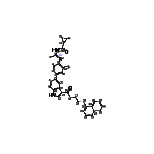 C/C(=N\c1ccc(-c2ccc3[nH]cc(C(=O)CCCCc4cccc5ccccc45)c3c2)cc1C)NC(=O)C1CC1